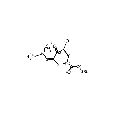 CC1CN(C(=O)OC(C)(C)C)CC(=CN(C)C)C1=O